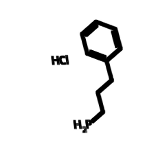 Cl.PCCCc1ccccc1